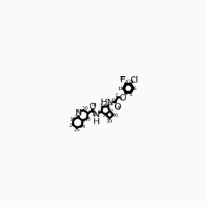 O=C(COc1ccc(Cl)c(F)c1)NC1CC(NC(=O)C2CN=C3CCCCC3C2)C2CCC12